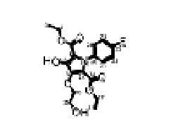 CCOC(=O)c1c(O)c(OCCO)c(C(=O)OCC)n1-c1ccc(F)cc1